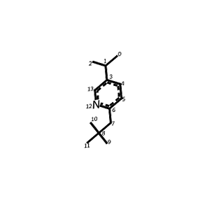 CC(C)c1ccc(CC(C)(C)C)nc1